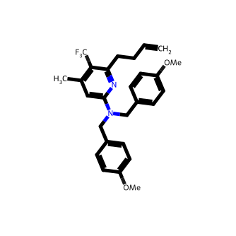 C=CCCc1nc(N(Cc2ccc(OC)cc2)Cc2ccc(OC)cc2)cc(C)c1C(F)(F)F